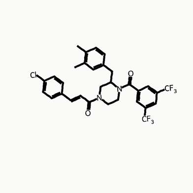 Cc1ccc(CC2CN(C(=O)C=Cc3ccc(Cl)cc3)CCN2C(=O)c2cc(C(F)(F)F)cc(C(F)(F)F)c2)cc1C